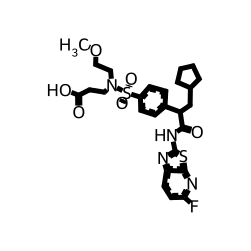 COCCN(CCC(=O)O)S(=O)(=O)c1ccc(C(CC2CCCC2)C(=O)Nc2nc3ccc(F)nc3s2)cc1